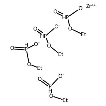 CCO[PH](=O)[O-].CCO[PH](=O)[O-].CCO[PH](=O)[O-].CCO[PH](=O)[O-].[Zr+4]